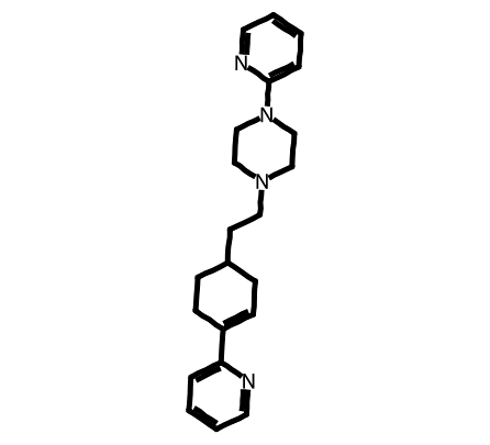 C1=C(c2ccccn2)CCC(CCN2CCN(c3ccccn3)CC2)C1